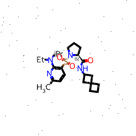 CCN(c1nc(C)ccc1S(=O)(=O)N1CCC[C@H]1C(=O)NC1CC2(CCC2)C1)C(C)C